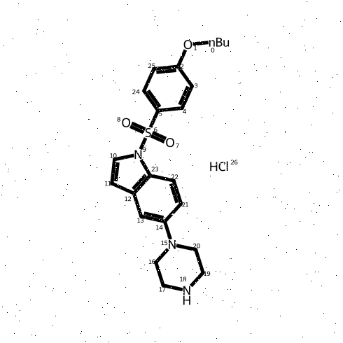 CCCCOc1ccc(S(=O)(=O)n2ccc3cc(N4CCNCC4)ccc32)cc1.Cl